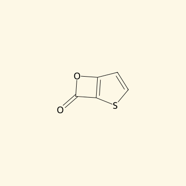 O=C1Oc2ccsc21